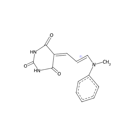 CN(/C=C/C=C1C(=O)NC(=O)NC1=O)c1ccccc1